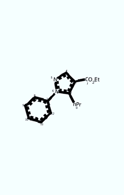 CCCc1c(C(=O)OCC)cnn1-c1ccccc1